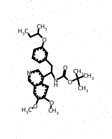 CCC(C)Oc1cccc(CC(NC(=O)OC(C)(C)C)c2cncc3cc(OC)c(OC)cc23)c1